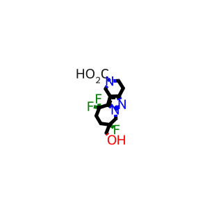 O=C(O)N1CCc2nn3c(c2C1)C(F)(F)CCC(F)(CO)C3